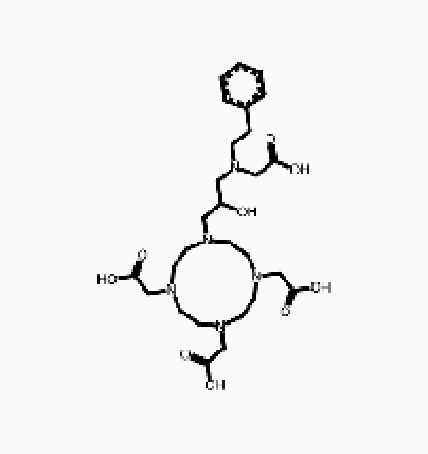 O=C(O)CN1CCN(CC(=O)O)CCN(CC(O)CN(CCc2ccccc2)CC(=O)O)CCN(CC(=O)O)CC1